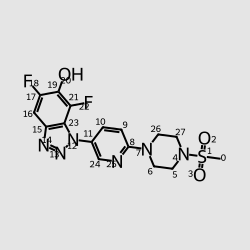 CS(=O)(=O)N1CCN(c2ccc(-n3nnc4cc(F)c(O)c(F)c43)cn2)CC1